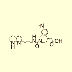 CN(C)c1ccc2c(c1)CN(C(=O)NCCCc1ccc3c(n1)NCCC3)CCC2CC(=O)O